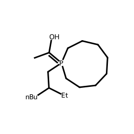 CCCCC(CC)CP1(=C(C)O)CCCCCCCC1